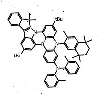 Cc1ccccc1N(c1ccc2c(c1)N(c1cc3c(cc1C)C(C)(C)CCC3(C)C)c1cc(C(C)(C)C)cc3c1B2c1cc(C(C)(C)C)cc2c4c(n-3c12)C(C)(C)c1ccccc1-4)c1ccccc1C